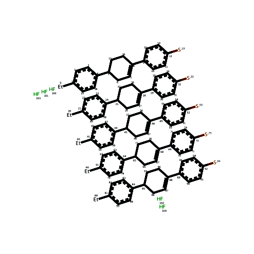 CCc1ccc(C2CC=C(c3ccc([S])cc3)CC2)cc1.CCc1ccc(C2CC=C(c3ccc([S])cc3)CC2)cc1.CCc1ccc(C2CC=C(c3ccc([S])cc3)CC2)cc1.CCc1ccc(C2CC=C(c3ccc([S])cc3)CC2)cc1.CCc1ccc(C2CC=C(c3ccc([S])cc3)CC2)cc1.F.F.F.F.F